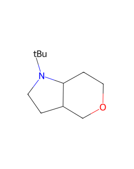 CC(C)(C)N1CCC2COCCC21